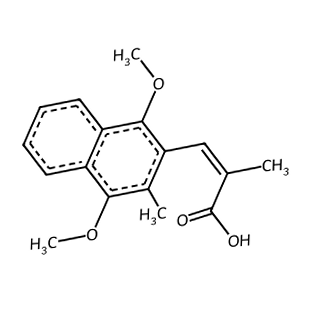 COc1c(C)c(/C=C(/C)C(=O)O)c(OC)c2ccccc12